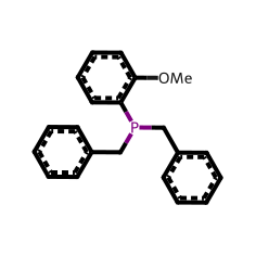 COc1ccccc1P(Cc1ccccc1)Cc1ccccc1